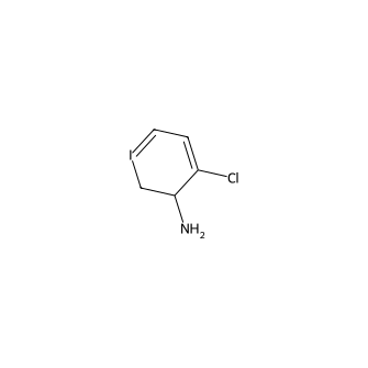 NC1CI=CC=C1Cl